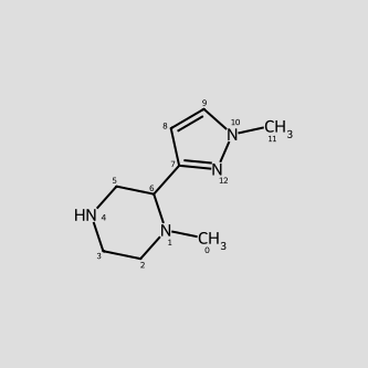 CN1CCNCC1c1ccn(C)n1